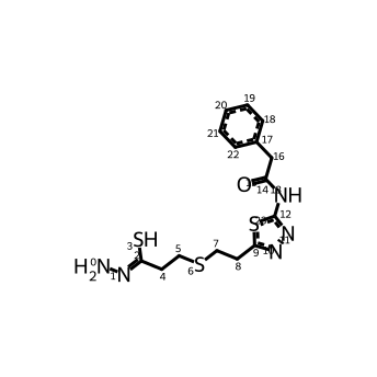 N/N=C(\S)CCSCCc1nnc(NC(=O)Cc2ccccc2)s1